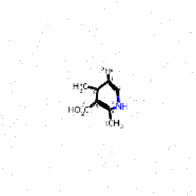 [2H]C1=CNC(C)=C(C(=O)O)C1C